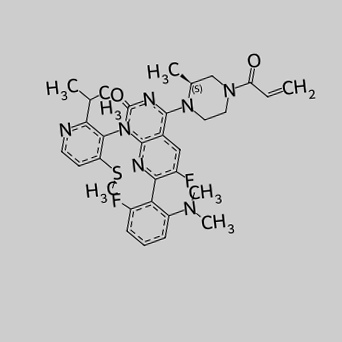 C=CC(=O)N1CCN(c2nc(=O)n(-c3c(SC)ccnc3C(C)C)c3nc(-c4c(F)cccc4N(C)C)c(F)cc23)[C@@H](C)C1